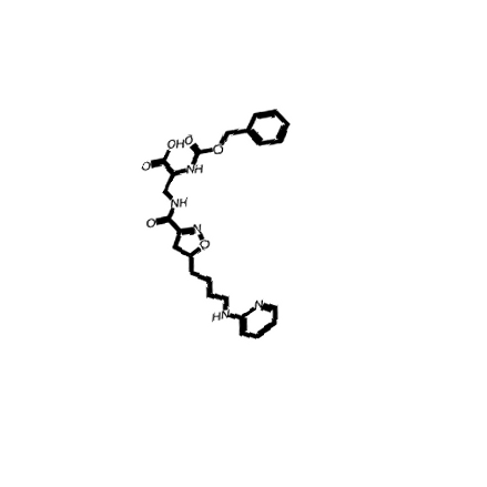 O=C(NC(CNC(=O)C1=NOC(CCCCNc2ccccn2)C1)C(=O)O)OCc1ccccc1